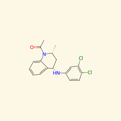 CC(=O)N1c2ccccc2[C@@H](Nc2ccc(Cl)c(Cl)c2)C[C@H]1C